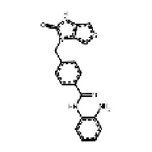 Nc1ccccc1NC(=O)c1ccc(Cn2c(=O)[nH]c3cscc32)cc1